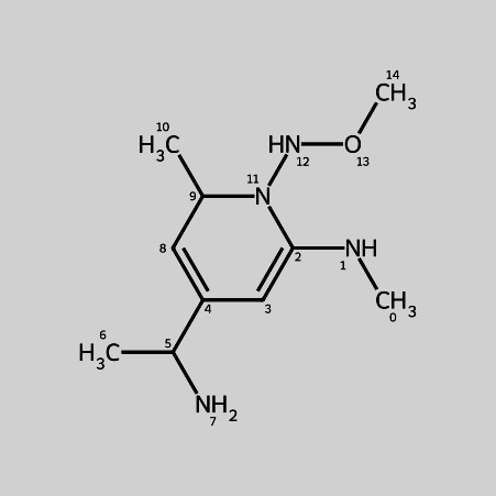 CNC1=CC(C(C)N)=CC(C)N1NOC